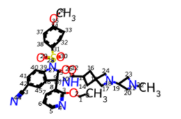 CCOc1ncccc1[C@]1(NC(=O)C2CC3(C2)CN(C2CN(C)C2)C3)C(=O)N(S(=O)(=O)c2ccc(OC)cc2)c2ccc(C#N)cc21